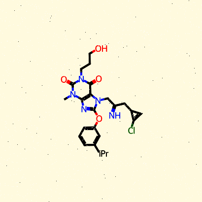 CC(C)c1cccc(Oc2nc3c(c(=O)n(CCCO)c(=O)n3C)n2CC(=N)CC2C=C2Cl)c1